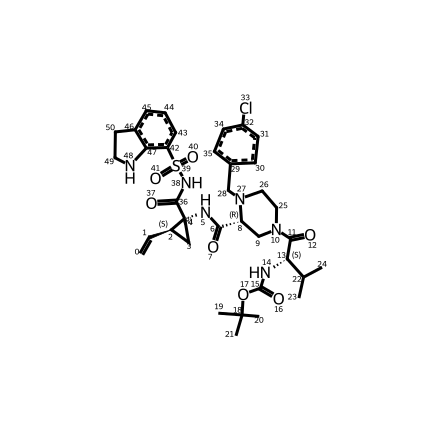 C=C[C@@H]1C[C@]1(NC(=O)[C@H]1CN(C(=O)[C@@H](NC(=O)OC(C)(C)C)C(C)C)CCN1Cc1ccc(Cl)cc1)C(=O)NS(=O)(=O)c1cccc2c1NCC2